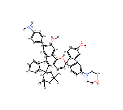 COc1ccc(C2(c3ccc(N4CCOCC4)cc3)C=Cc3c4c(c5cc(-c6ccc(N(C)C)cc6)c(OC)cc5c3O2)-c2ccccc2C42CC(C)(C)CC(C)(C)C2)cc1